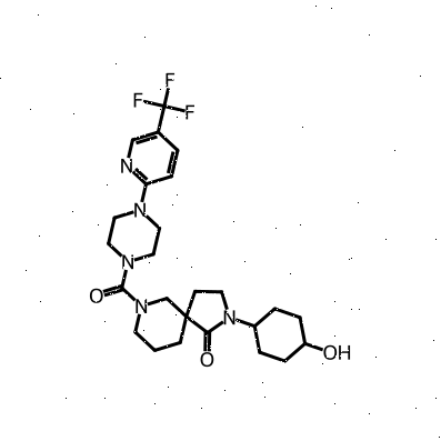 O=C(N1CCN(c2ccc(C(F)(F)F)cn2)CC1)N1CCCC2(CCN(C3CCC(O)CC3)C2=O)C1